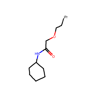 CC(C)CCOCC(=O)NC1CCCCC1